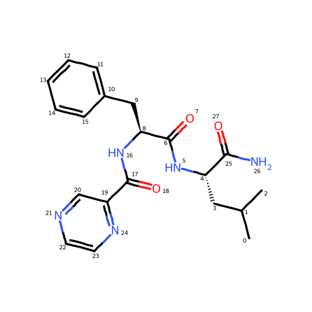 CC(C)C[C@H](NC(=O)[C@H](Cc1ccccc1)NC(=O)c1cnccn1)C(N)=O